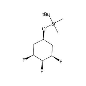 CC(C)(C)[Si](C)(C)O[C@H]1C[C@@H](F)[C@@H](F)[C@@H](F)C1